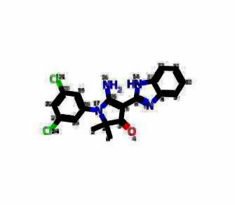 CC1(C)C(=O)C(c2nc3ccccc3[nH]2)=C(N)N1c1cc(Cl)cc(Cl)c1